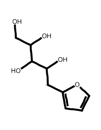 OCC(O)C(O)C(O)[CH]c1ccco1